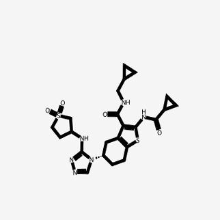 O=C(NCC1CC1)c1c(NC(=O)C2CC2)sc2c1C[C@@H](n1cnnc1NC1CCS(=O)(=O)C1)CC2